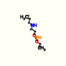 C=CCNCCOPOCC